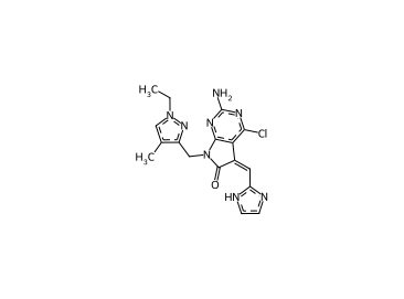 CCn1cc(C)c(CN2C(=O)/C(=C\c3ncc[nH]3)c3c(Cl)nc(N)nc32)n1